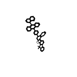 CC1(C)c2ccccc2-c2ccc3c(oc4cc(-c5ccc(-c6c7ccccc7c(-c7cccc8ccccc78)c7ccccc67)cc5)c5ccccc5c43)c21